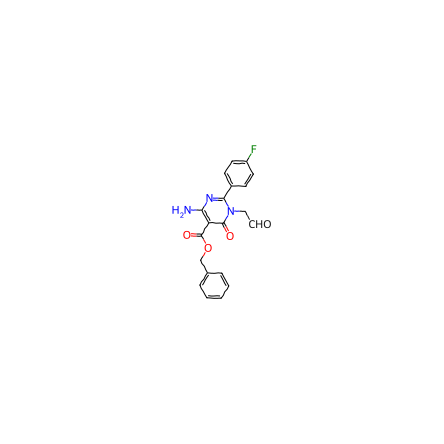 Nc1nc(-c2ccc(F)cc2)n(CC=O)c(=O)c1C(=O)OCc1ccccc1